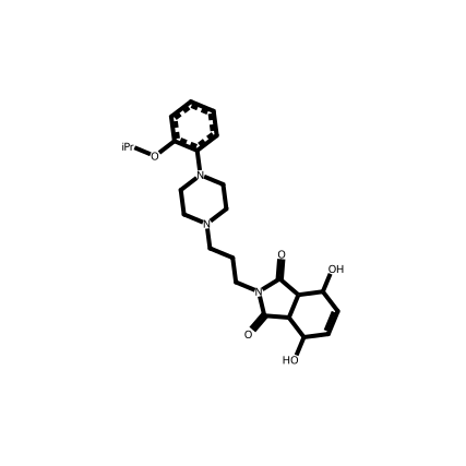 CC(C)Oc1ccccc1N1CCN(CCCN2C(=O)C3C(O)C=CC(O)C3C2=O)CC1